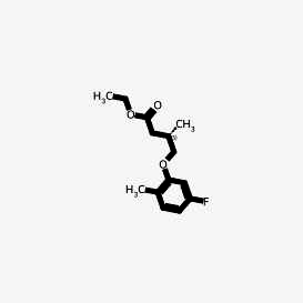 CCOC(=O)C[C@H](C)COc1cc(F)ccc1C